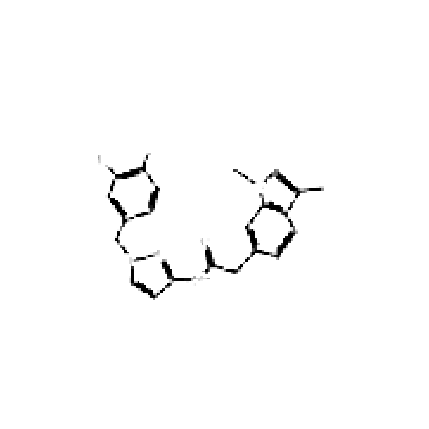 Cc1cn(C)c2cc(CC(=O)Nc3ccn(Cc4ccc(F)c(F)c4)n3)ccc12